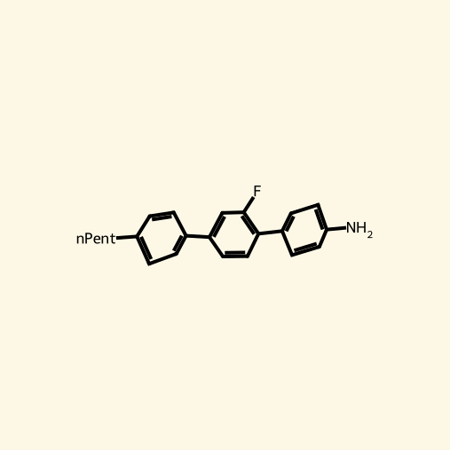 CCCCCc1ccc(-c2ccc(-c3ccc(N)cc3)c(F)c2)cc1